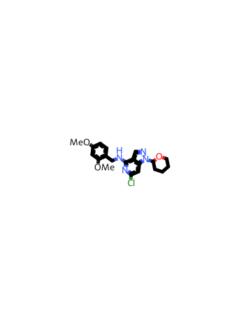 COc1ccc(CNc2nc(Cl)cc3c2cnn3C2CCCCO2)c(OC)c1